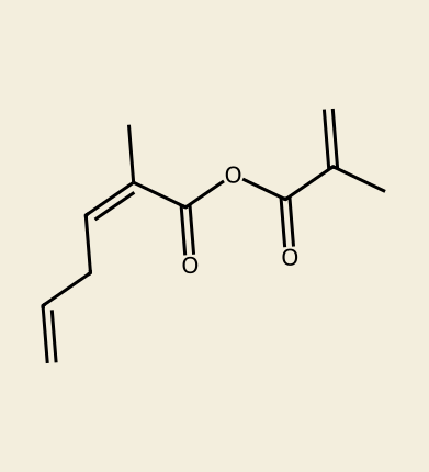 C=CCC=C(C)C(=O)OC(=O)C(=C)C